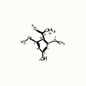 COc1cc(O)cc(OC)c1C(C)=O